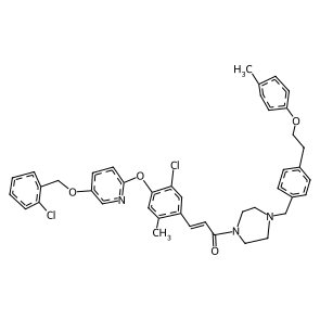 Cc1ccc(OCCc2ccc(CN3CCN(C(=O)C=Cc4cc(Cl)c(Oc5ccc(OCc6ccccc6Cl)cn5)cc4C)CC3)cc2)cc1